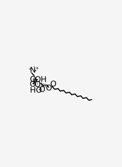 CCCCCCCCCCCCCCC(=O)OC[C@H](COP(=O)(O)OCC[N+](C)(C)C)OO